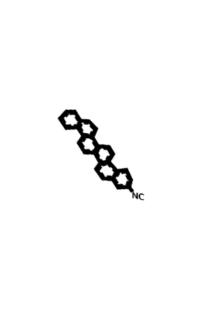 [C-]#[N+]c1ccc2c(ccc3c2ccc2c4ccc5ccccc5c4ccc32)c1